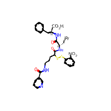 CC(C)C[C@H](NC(=O)C(CCCNC(=O)c1cccnc1)SSc1ccccc1[N+](=O)[O-])C(=O)N[C@@H](Cc1ccccc1)C(=O)O